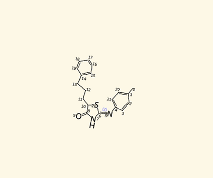 Cc1ccc(/N=C2/NC(=O)C(CCCc3ccccc3)S2)cc1